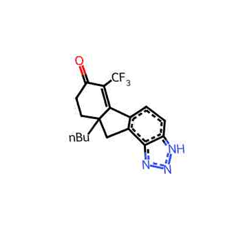 CCCCC12CCC(=O)C(C(F)(F)F)=C1c1ccc3[nH]nnc3c1C2